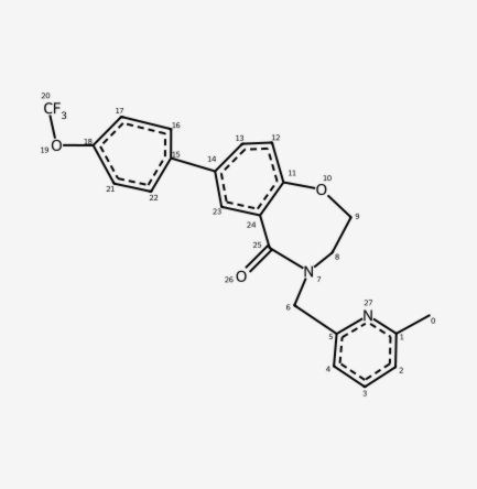 Cc1cccc(CN2CCOc3ccc(-c4ccc(OC(F)(F)F)cc4)cc3C2=O)n1